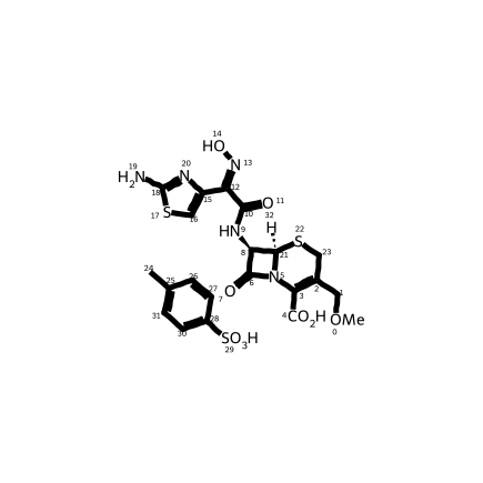 COCC1=C(C(=O)O)N2C(=O)[C@@H](NC(=O)/C(=N/O)c3csc(N)n3)[C@H]2SC1.Cc1ccc(S(=O)(=O)O)cc1